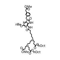 CCCCCCCCOC(=O)CCN(CCCCCC(=O)Nc1nc(OCCCC)nc2c1[nH]c(=O)n2Cc1cccc(CC(=O)OC)c1)CCCN(CCC(=O)OC)CCC(=O)OCCCCCCCC